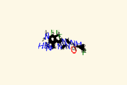 CN(C)c1c(F)c(C(F)F)c(-c2cn3cc(NC(=O)[C@@H]4C[C@@H]4F)nc3cn2)c2cn[nH]c12